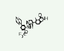 Cc1c(-c2ccnc(Nc3cc(N4CCN(C)CC4)ccc3OC(F)(F)F)n2)ccc2c1C(=O)NC2